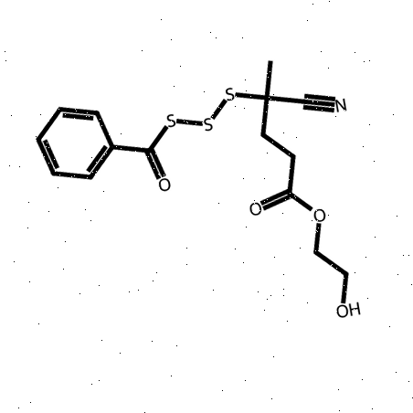 CC(C#N)(CCC(=O)OCCO)SSSC(=O)c1ccccc1